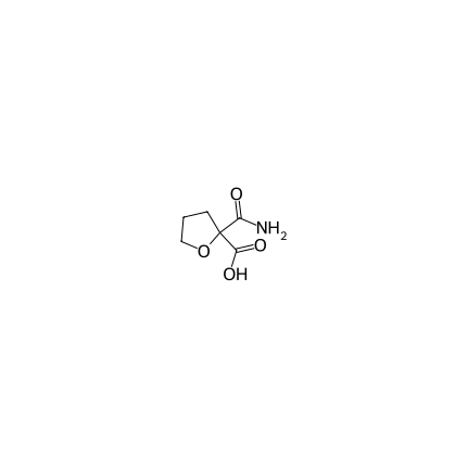 NC(=O)C1(C(=O)O)CCCO1